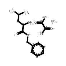 CC(C)CC(N)C(=O)OCc1ccccc1.N.O=C(O)C(=O)O